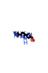 COCc1cc2[nH]c3nc(-c4cnn(C)c4)ccc3c2cn1